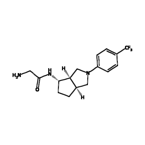 NCC(=O)N[C@H]1CC[C@@H]2CN(c3ccc(C(F)(F)F)cc3)C[C@@H]21